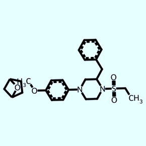 C1CC2CC1O2.CCS(=O)(=O)N1CCN(c2ccc(OC)cc2)CC1Cc1ccccc1